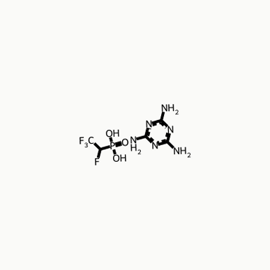 Nc1nc(N)nc(N)n1.O=P(O)(O)C(F)C(F)(F)F